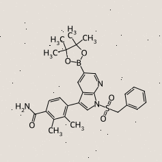 Cc1c(C(N)=O)ccc(-c2cn(S(=O)(=O)Cc3ccccc3)c3ncc(B4OC(C)(C)C(C)(C)O4)cc23)c1C